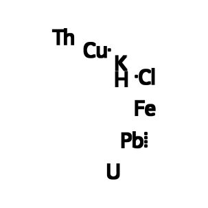 [Cl].[Cu].[Fe].[KH].[Pb].[Th].[U]